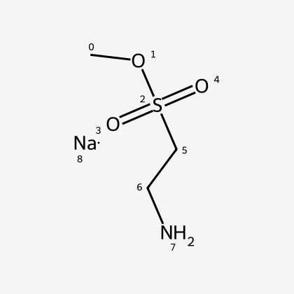 COS(=O)(=O)CCN.[Na]